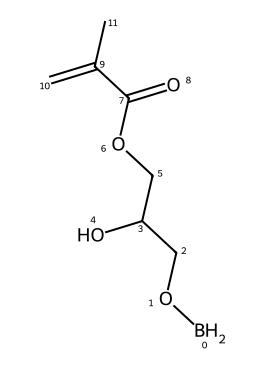 BOCC(O)COC(=O)C(=C)C